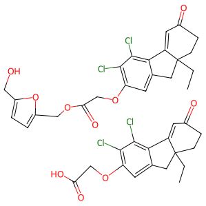 CCC12CCC(=O)C=C1c1c(cc(OCC(=O)O)c(Cl)c1Cl)C2.CCC12CCC(=O)C=C1c1c(cc(OCC(=O)OCc3ccc(CO)o3)c(Cl)c1Cl)C2